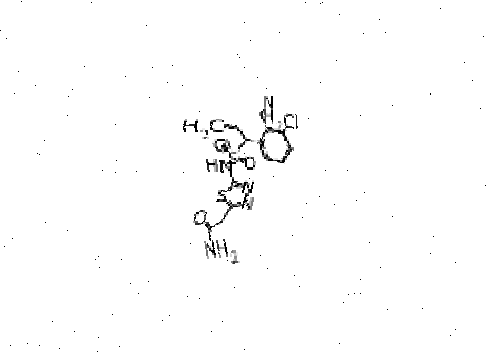 C=CC(c1cccc(Cl)c1CN)S(=O)(=O)Nc1nnc(CC(N)=O)s1